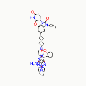 Cn1c(=O)n(C2CCC(=O)NC2=O)c2ccc(C3CC4(C3)CC(N3CCC(c5cnc(N6C7CCC6CN(c6cc(-c8ccccc8O)nnc6N)C7)nc5)CC3)C4)cc21